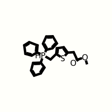 COC(=O)Cc1ccc(C[PH](c2ccccc2)(c2ccccc2)c2ccccc2)s1